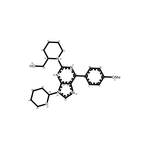 COc1ccc(-c2nc(N3CCCCC3CO)nc3c2ncn3C2CCCCO2)cc1